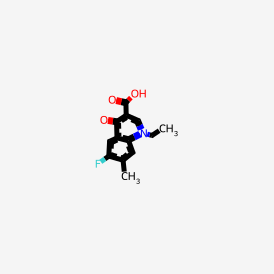 CCn1cc(C(=O)O)c(=O)c2cc(F)c(C)cc21